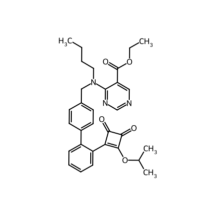 CCCCN(Cc1ccc(-c2ccccc2-c2c(OC(C)C)c(=O)c2=O)cc1)c1ncncc1C(=O)OCC